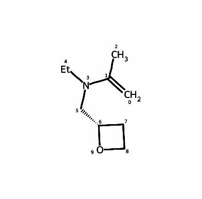 C=C(C)N(CC)C[C@@H]1CCO1